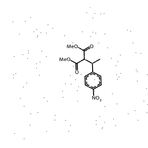 COC(=O)C(C(=O)OC)C(C)c1ccc([N+](=O)[O-])cc1